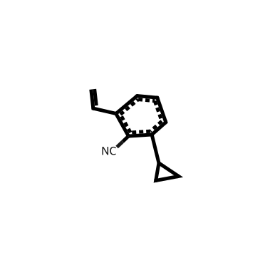 C=Cc1cccc(C2CC2)c1C#N